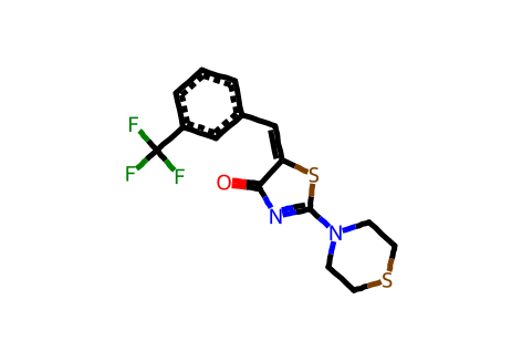 O=C1N=C(N2CCSCC2)S/C1=C/c1cccc(C(F)(F)F)c1